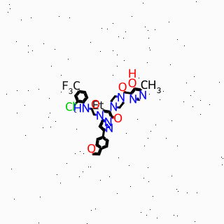 CCc1c(N2CCN(C(=O)c3ncnc(C)c3O)CC2)c(=O)n2nc(-c3ccc4ccoc4c3)cc2n1CC(=O)Nc1ccc(C(F)(F)F)cc1Cl